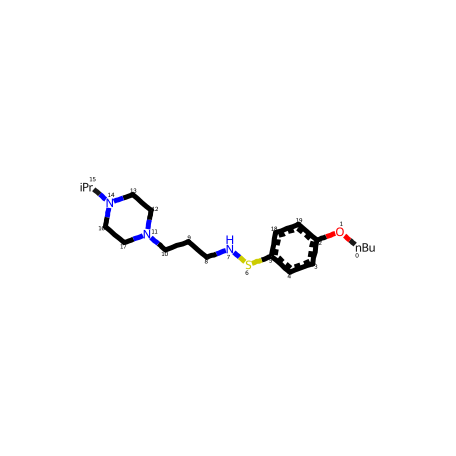 CCCCOc1ccc(SNCCCN2CCN(C(C)C)CC2)cc1